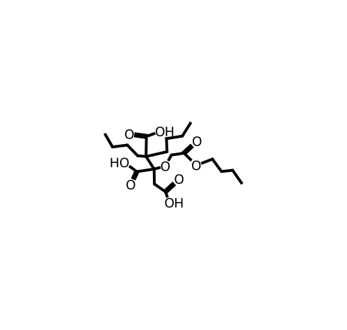 CCCCOC(=O)COC(CC(=O)O)(C(=O)O)C(CCCC)(CCCC)C(=O)O